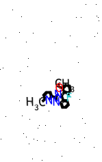 COc1cccc(F)c1-c1nc(-c2cccc(C)n2)nc2ccccc12